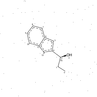 CC[C@H](O)c1cc2ccccc2s1